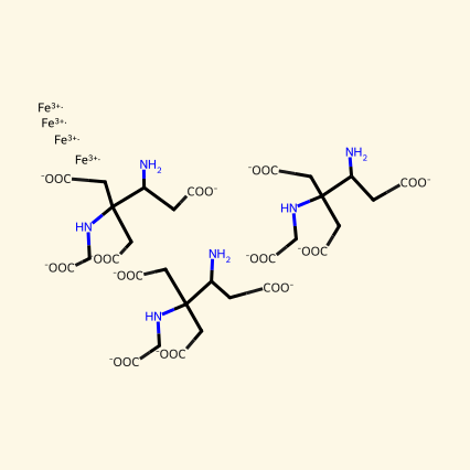 NC(CC(=O)[O-])C(CC(=O)[O-])(CC(=O)[O-])NCC(=O)[O-].NC(CC(=O)[O-])C(CC(=O)[O-])(CC(=O)[O-])NCC(=O)[O-].NC(CC(=O)[O-])C(CC(=O)[O-])(CC(=O)[O-])NCC(=O)[O-].[Fe+3].[Fe+3].[Fe+3].[Fe+3]